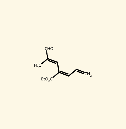 C=C/C=C(\C=C(/C)C=O)C(=O)OCC